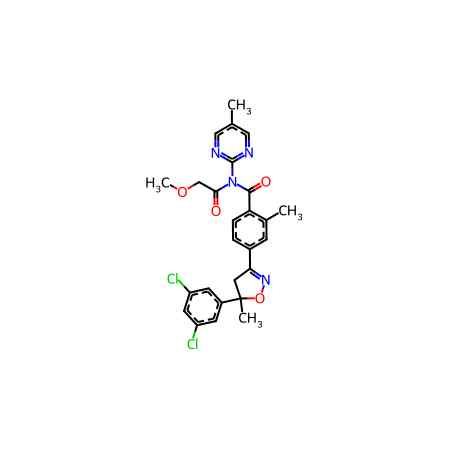 COCC(=O)N(C(=O)c1ccc(C2=NOC(C)(c3cc(Cl)cc(Cl)c3)C2)cc1C)c1ncc(C)cn1